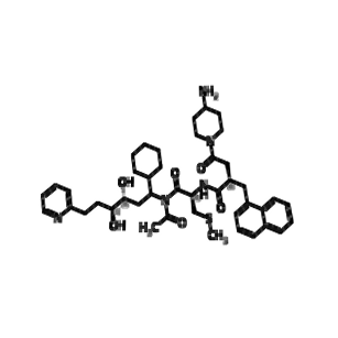 CSC[C@H](NC(=O)[C@@H](CC(=O)N1CCC(N)CC1)Cc1cccc2ccccc12)C(=O)N(C(C)=O)C(C[C@@H](O)[C@@H](O)CCc1ccccn1)C1CCCCC1